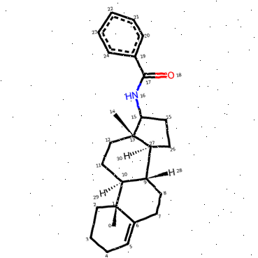 C[C@]12CCCC=C1CC[C@@H]1[C@@H]2CC[C@]2(C)C(NC(=O)c3ccccc3)CC[C@@H]12